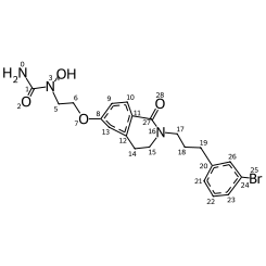 NC(=O)N(O)CCOc1ccc2c(c1)CCN(CCCc1cccc(Br)c1)C2=O